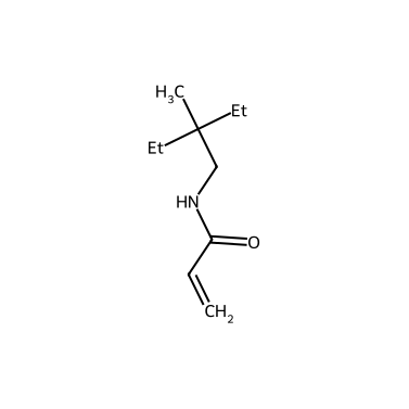 C=CC(=O)NCC(C)(CC)CC